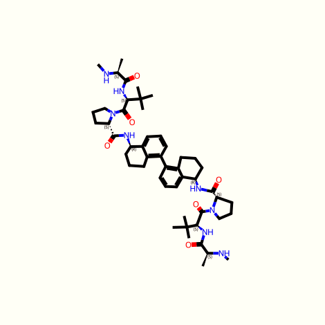 CN[C@@H](C)C(=O)N[C@H](C(=O)N1CCC[C@H]1C(=O)N[C@@H]1CCCc2c(-c3cccc4c3CCC[C@H]4NC(=O)[C@@H]3CCCN3C(=O)[C@@H](NC(=O)[C@H](C)NC)C(C)(C)C)cccc21)C(C)(C)C